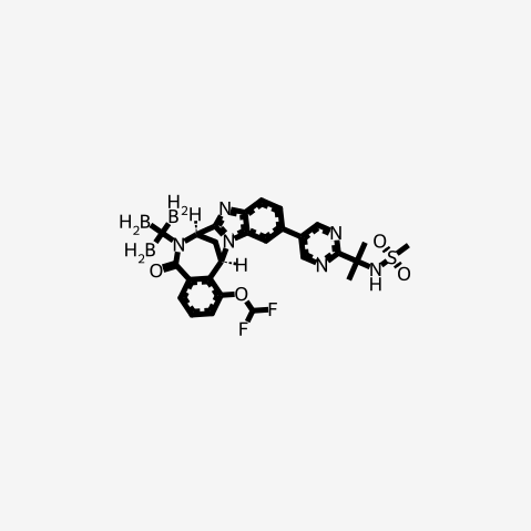 BC(B)(B)N1C(=O)c2cccc(OC(F)F)c2[C@H]2C[C@@H]1c1nc3ccc(-c4cnc(C(C)(C)NS(C)(=O)=O)nc4)cc3n12